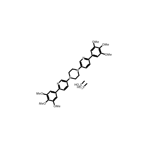 COc1cc(-c2ccc(N3CCN(c4ccc(-c5cc(OC)c(OC)c(OC)c5)nc4)CC3)cn2)cc(OC)c1OC.CS(=O)(=O)O.CS(=O)(=O)O